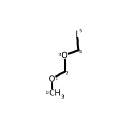 COCOCI